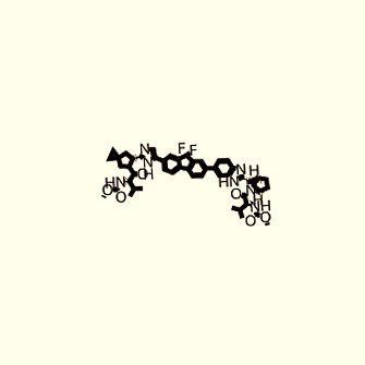 COC(=O)N[C@H](C(=O)C1CC2(CC2)C[C@H]1c1ncc(-c2ccc3c(c2)C(F)(F)c2cc(-c4ccc5nc([C@@H]6[C@H]7CC[C@H](C7)N6C(=O)[C@@H](NC(=O)OC)C(C)C)[nH]c5c4)ccc2-3)[nH]1)C(C)C